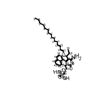 CCCCCCCCCCCCCCCCOC(CC)c1c(N)nc(=O)n(CCOCP(=O)(O)O)c1-c1cccc2ccccc12